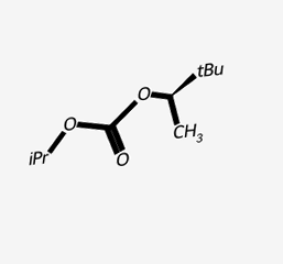 CC(C)OC(=O)O[C@H](C)C(C)(C)C